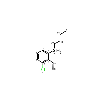 C=Cc1c(Cl)cccc1[SiH2]CCCC